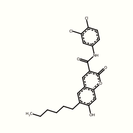 CCCCCCc1cc2cc(C(=O)Nc3ccc(Cl)c(Cl)c3)c(=O)oc2cc1O